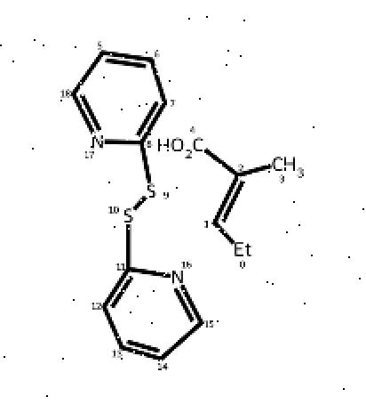 CCC=C(C)C(=O)O.c1ccc(SSc2ccccn2)nc1